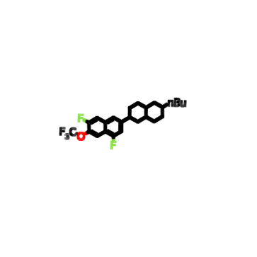 CCCCC1CCC2CC(c3cc(F)c4cc(OC(F)(F)F)c(F)cc4c3)CCC2C1